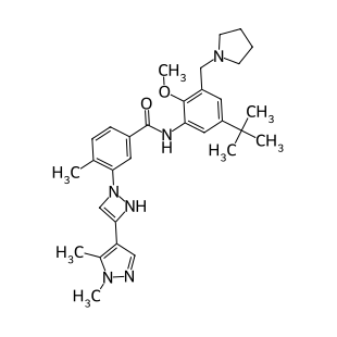 COc1c(CN2CCCC2)cc(C(C)(C)C)cc1NC(=O)c1ccc(C)c(-n2cc(-c3cnn(C)c3C)[nH]2)c1